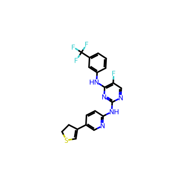 Fc1cnc(Nc2ccc(C3=CSCC3)cn2)nc1Nc1cccc(C(F)(F)F)c1